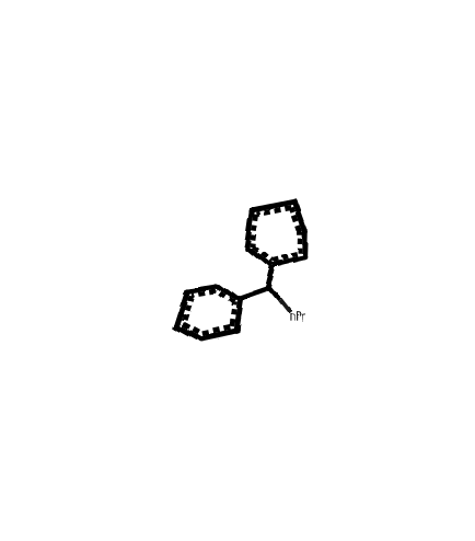 [CH2]CC[C](c1ccccc1)c1ccccc1